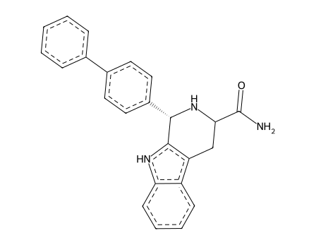 NC(=O)C1Cc2c([nH]c3ccccc23)[C@H](c2ccc(-c3ccccc3)cc2)N1